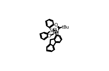 CC(C)(C)C(=O)[NH][Hf]([Cl])([Cl])([c]1cccc2c1Cc1ccccc1-2)[SiH](c1ccccc1)c1ccccc1